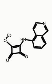 CCOc1c(Nc2cccc3cnccc23)c(=O)c1=O